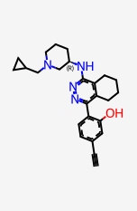 C#Cc1ccc(-c2nnc(N[C@@H]3CCCN(CC4CC4)C3)c3c2CCCC3)c(O)c1